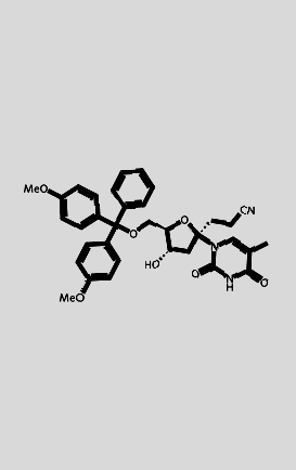 COc1ccc(C(OC[C@H]2O[C@@](CCC#N)(n3cc(C)c(=O)[nH]c3=O)C[C@@H]2O)(c2ccccc2)c2ccc(OC)cc2)cc1